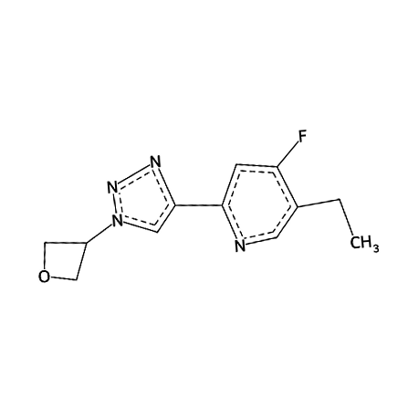 CCc1cnc(-c2cn(C3COC3)nn2)cc1F